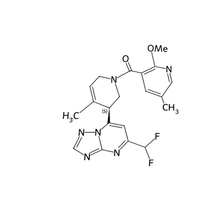 COc1ncc(C)cc1C(=O)N1CC=C(C)[C@H](c2cc(C(F)F)nc3ncnn23)C1